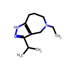 CCN1CCCc2[nH]nc(C(C)C)c2C1